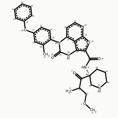 COCC(C)C(=O)[C@@]1(NC(=O)c2sc3nccc4c3c2NC(=O)N4c2ccc(Oc3ccccc3)cc2C)CCCNC1